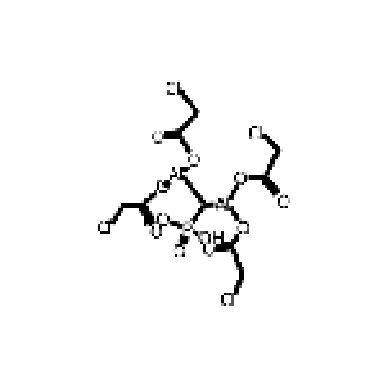 O=C(CCl)[O][Al]([O]C(=O)CCl)[CH]([Al]([O]C(=O)CCl)[O]C(=O)CCl)P(=O)(O)O